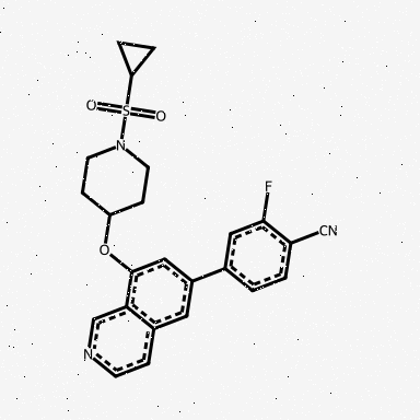 N#Cc1ccc(-c2cc(OC3CCN(S(=O)(=O)C4CC4)CC3)c3cnccc3c2)cc1F